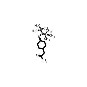 CC(=O)CC1CCC(=NN([Si](C)(C)C)[Si](C)(C)C)CC1